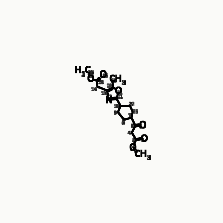 COC(=O)CC(=O)C1CCC(c2nc(CC(=O)OC)c(C)o2)CC1